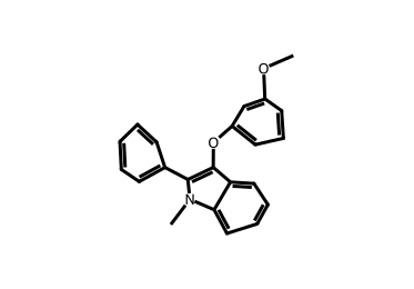 COc1cccc(Oc2c(-c3ccccc3)n(C)c3ccccc23)c1